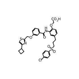 O=C(O)COc1ccc(CCCS(=O)(=O)c2ccc(Cl)cc2)cc1NC(=O)c1cccc(OCc2nc(C3CCC3)cs2)c1